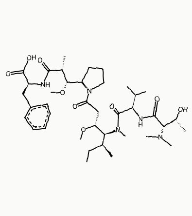 CC[C@H](C)[C@@H]([C@@H](CC(=O)N1CCCC1[C@H](OC)[C@@H](C)C(=O)N[C@@H](Cc1ccccc1)C(=O)O)OC)N(C)C(=O)C(NC(=O)[C@H]([C@@H](C)O)N(C)C)C(C)C